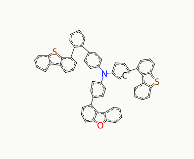 c1ccc(-c2cccc3c2sc2ccccc23)c(-c2ccc(N(c3ccc(-c4cccc5oc6ccccc6c45)cc3)c3ccc(-c4cccc5sc6ccccc6c45)cc3)cc2)c1